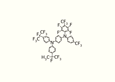 CC(F)(c1ccc(N(c2ccc(N(c3ccc(C(F)(F)F)cc3)c3c(F)c(F)c(C(F)(F)F)c(F)c3F)cc2)c2ccc(C(F)(C(F)(F)F)C(F)(F)F)cc2)cc1)C(F)(F)F